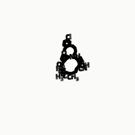 C[C@@H]1[C@@H](C)C/C=C/[C@@](O)(C#N)[C@@H]2CC[C@H]2CN2CCCCc3cc(Cl)ccc3COc3ccc(cc32)C(=O)NS1(=O)=O